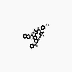 Cc1c(N(C(=O)c2cc(-c3cc4c(cc3C(=O)N3Cc5ccccc5C[C@H]3C)CN(C(=O)c3ccccc3)CC4)n(C)c2C)c2ccc(O)cc2)cc(C#N)n1C